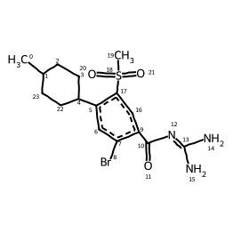 CC1CCC(c2cc(Br)c(C(=O)N=C(N)N)cc2S(C)(=O)=O)CC1